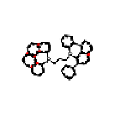 c1ccc(-c2ccccc2P(CCCP(c2ccccc2-c2ccccc2)c2ccccc2-c2ccccc2)c2ccccc2-c2ccccc2)cc1